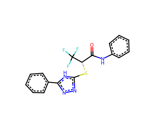 O=C(Nc1ccccc1)[C@H](Sc1nnc(-c2ccccc2)[nH]1)C(F)(F)F